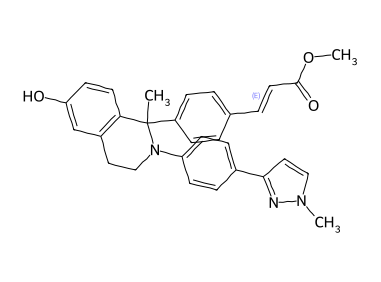 COC(=O)/C=C/c1ccc(C2(C)c3ccc(O)cc3CCN2c2ccc(-c3ccn(C)n3)cc2)cc1